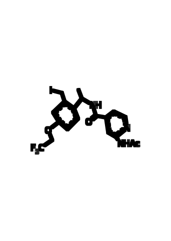 CC(=O)Nc1cc(C(=O)NC(C)c2ccc(OCC(F)(F)F)cc2CI)ccn1